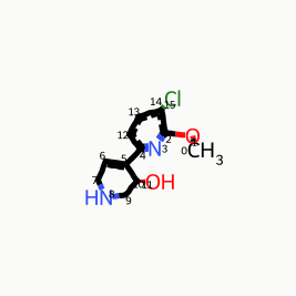 COc1nc(C2=CCNC[C@@H]2O)ccc1Cl